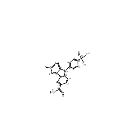 Cc1ccc2c(n1)c1cc(C(=O)O)ccc1n2-c1ccc(C(F)(F)F)cc1